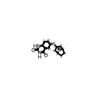 CN1C2CCC1CC(Sc1ccc3[nH]c(=O)[nH]c(=O)c3c1)C2